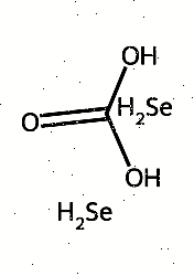 O=C(O)O.[SeH2].[SeH2]